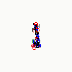 CCC(=O)N1C[C@@H]2C[C@H]1CN2S(=O)(=O)c1ccc(N2CC(CN3CCC([C@@](CN4CCC4)(c4cccc(F)c4)[C@H]4CCC[C@@H]4NC(=O)OC)CC3)(OC)C2)cc1